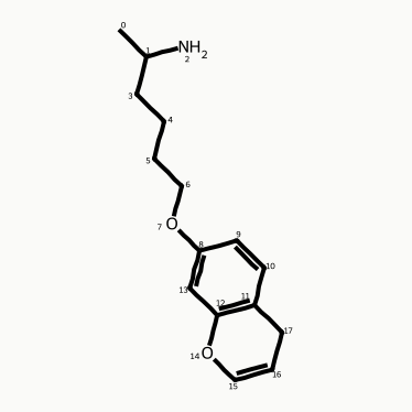 CC(N)CCCCOc1ccc2c(c1)OC=CC2